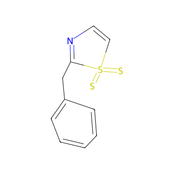 S=S1(=S)C=CN=C1Cc1ccccc1